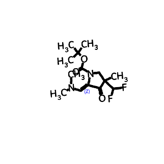 CN(C)/C=C1/C(=O)C(C)(C(F)F)CN1C(=O)OC(C)(C)C